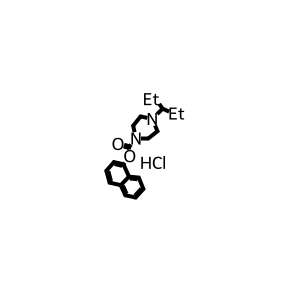 CCC(CC)N1CCN(C(=O)Oc2cccc3ccccc23)CC1.Cl